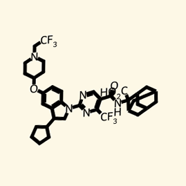 O=C(NC1(C(=O)O)C2CC3CC(C2)CC1C3)c1cnc(N2CC(C3CCCC3)c3cc(OC4CCN(CC(F)(F)F)CC4)ccc32)nc1C(F)(F)F